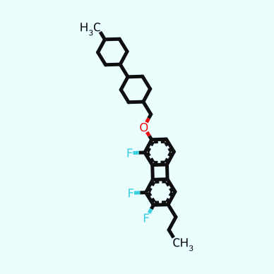 CCCc1cc2c(c(F)c1F)-c1c-2ccc(OCC2CCC(C3CCC(C)CC3)CC2)c1F